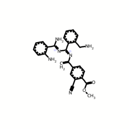 C=C(/N=C(\N=C(/N)c1ccccc1N)c1ccccc1CN)c1ccc(C(=O)OC)c(C#N)c1